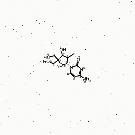 CC1C(O)C(CO)(CO)O[C@H]1n1ccc(N)nc1=O